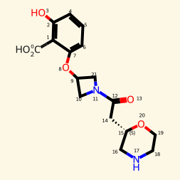 O=C(O)c1c(O)cccc1OC1CN(C(=O)C[C@H]2CNCCO2)C1